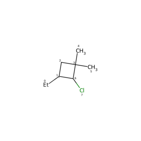 CC[C]1CC(C)(C)C1Cl